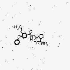 CCCc1cc(C(=O)NCC(=O)N2CCCC2C(N)=O)ccc1Oc1ccccc1